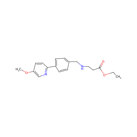 CCOC(=O)CCNCc1ccc(-c2ccc(OC)cn2)cc1